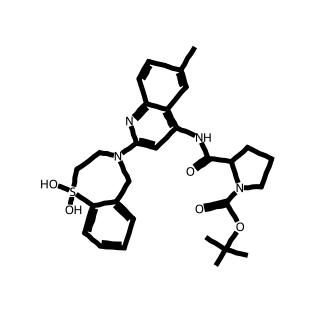 Cc1ccc2nc(N3CCS(O)(O)c4ccccc4C3)cc(NC(=O)C3CCCN3C(=O)OC(C)(C)C)c2c1